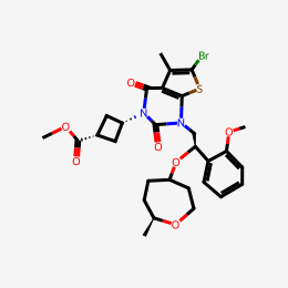 COc1ccccc1[C@H](Cn1c(=O)n([C@H]2C[C@@H](C(=O)OC)C2)c(=O)c2c(C)c(Br)sc21)OC1CCO[C@@H](C)CC1